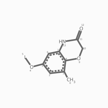 Cc1cc(OI)cc2c1OCC(=O)N2